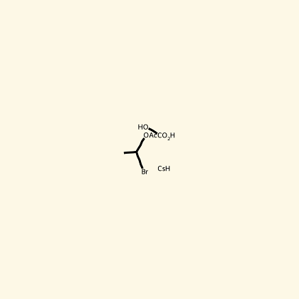 CC(=O)OC(C)Br.O=C(O)O.[CsH]